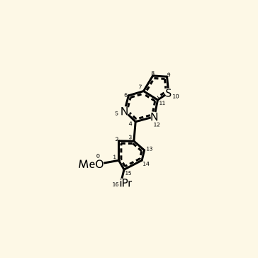 COc1cc(-c2ncc3ccsc3n2)ccc1C(C)C